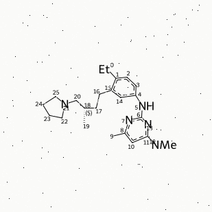 CCc1ccc(Nc2nc(C)cc(NC)n2)cc1CC[C@H](C)CN1CCCC1